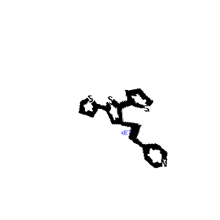 C(=C\c1cc(-c2cccs2)sc1-c1cccs1)/c1ccncc1